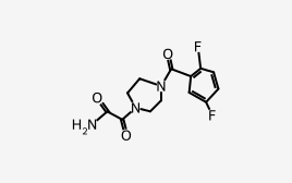 NC(=O)C(=O)N1CCN(C(=O)c2cc(F)ccc2F)CC1